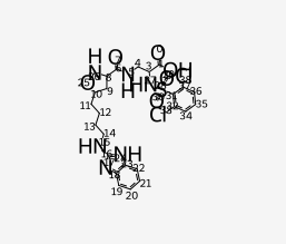 O=C(O)C(CNC(=O)C1CC(CCCCNc2nc3ccccc3[nH]2)ON1)NS(=O)(=O)c1c(Cl)cccc1Cl